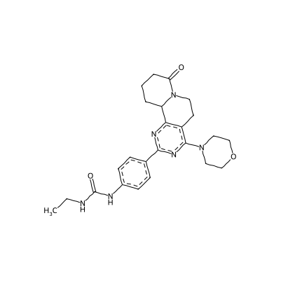 CCNC(=O)Nc1ccc(-c2nc3c(c(N4CCOCC4)n2)CCN2C(=O)CCCC32)cc1